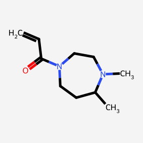 C=CC(=O)N1CCC(C)N(C)CC1